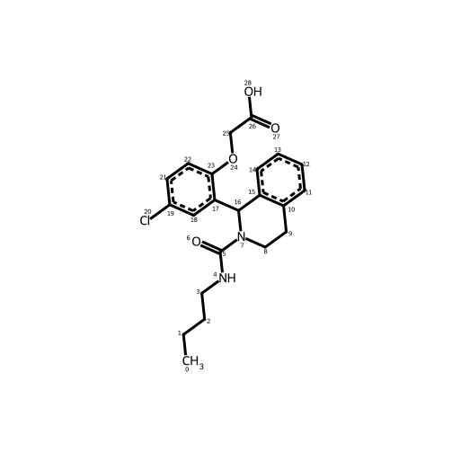 CCCCNC(=O)N1CCc2ccccc2C1c1cc(Cl)ccc1OCC(=O)O